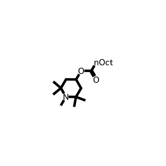 CCCCCCCCC(=O)OC1CC(C)(C)N(C)C(C)(C)C1